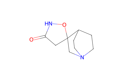 O=C1CC2(CN3CCC2CC3)ON1